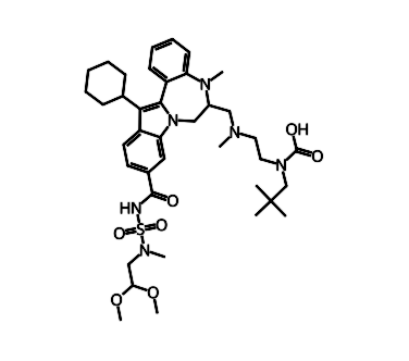 COC(CN(C)S(=O)(=O)NC(=O)c1ccc2c(C3CCCCC3)c3n(c2c1)CC(CN(C)CCN(CC(C)(C)C)C(=O)O)N(C)c1ccccc1-3)OC